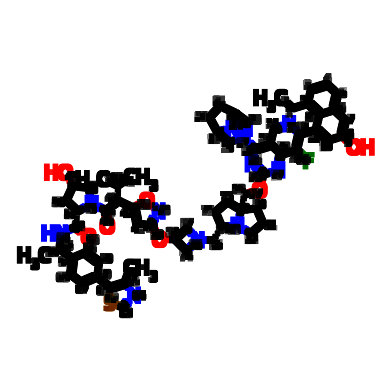 CCc1cccc2cc(O)cc(-c3ncc4c(N5CC6CCC(C5)N6)nc(OC[C@]56CCCN5[C@H](CN5CC(Oc7cc([C@H](C(=O)N8C[C@H](O)C[C@H]8C(=O)N[C@@H](C)c8ccc(-c9scnc9C)cc8)C(C)C)on7)C5)CC6)nc4c3F)c12